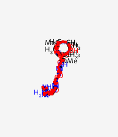 CO[C@H]1CC2CC[C@@H](C)C(CC(=O)N3CCCC[C@H]3C(=O)O[C@H](CC[C@@H]3CC[C@@H](OC(=O)NCc4cnc(N5CCN(C(=O)CCOCCN6CCN(c7ncc(C(=O)N8CCc9cc(Cn%10nc(-c%11cnc%12[nH]ccc%12c%11)c%11c(N)ncnc%11%10)ccc9C8)cn7)CC6)CC5)nc4)[C@H](OC)C3)CC(=O)[C@H](C)/C=C(\C)[C@@H](O)CC(=O)[C@H](C)C[C@H](C)/C=C/C=C/C=C/1C)O2